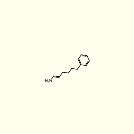 N/C=C/CCCCc1ccccc1